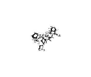 C=CC[C@@H]1O[C@H](C[C@H](O)CN2C(=O)c3ccccc3C2=O)[C@H](OC)[C@H]1CS(=O)(=O)c1ccccc1